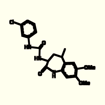 COc1cc2c(cc1OC)C(C)CC(NC(=O)Nc1cccc(Cl)c1)C(=O)N2